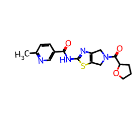 Cc1ccc(C(=O)Nc2nc3c(s2)CN(C(=O)C2CCCO2)C3)cn1